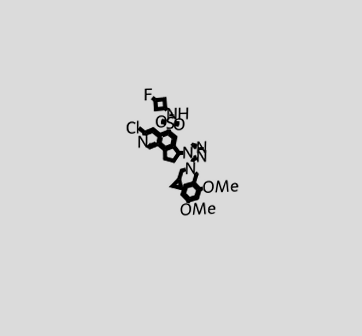 COc1ccc(CN(CC2CC2)c2nncn2C2CCc3c2cc(S(=O)(=O)NC2CC(F)C2)c2cc(Cl)ncc32)c(OC)c1